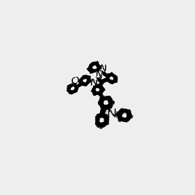 c1ccc(-n2c3ccccc3c3cc(-c4ccc5c(c4)c4c6ccccc6c6nc7ccccc7n6c4n5-c4ccc5oc6ccccc6c5c4)ccc32)cc1